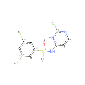 O=S(=O)(Nc1ccnc(Cl)n1)c1cc(F)cc(F)c1